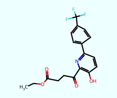 CCOC(=O)CCC(=O)c1nc(-c2ccc(C(F)(F)F)cc2)ccc1O